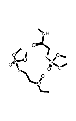 CC[S+]([O-])CCSP(=O)(OC)OC.CNC(=O)CSP(=O)(OC)OC